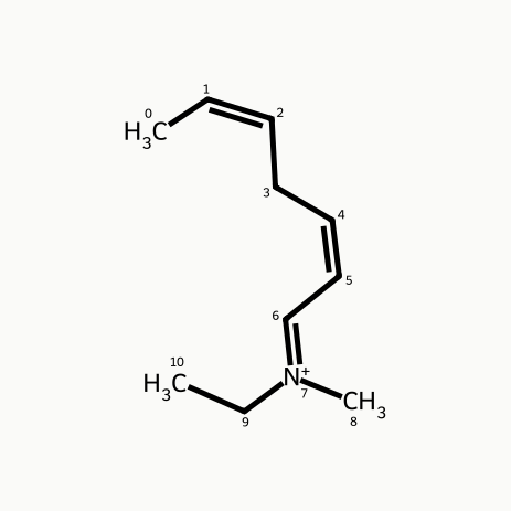 C/C=C\C/C=C\C=[N+](/C)CC